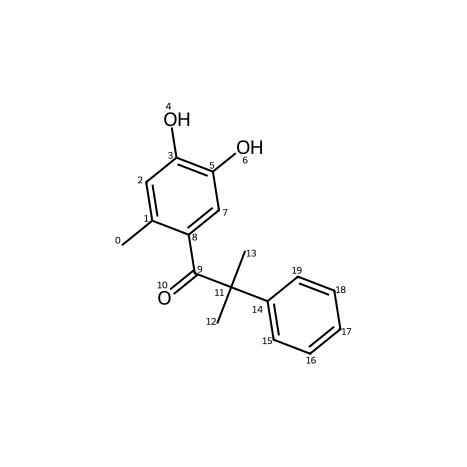 Cc1cc(O)c(O)cc1C(=O)C(C)(C)c1ccccc1